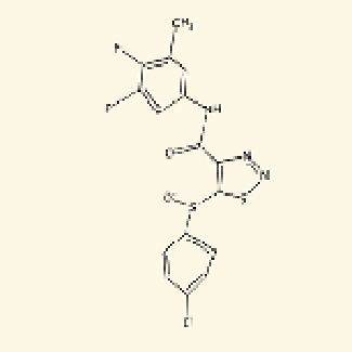 Cc1cc(NC(=O)c2nnsc2[S+]([O-])c2ccc(Cl)cc2)cc(F)c1F